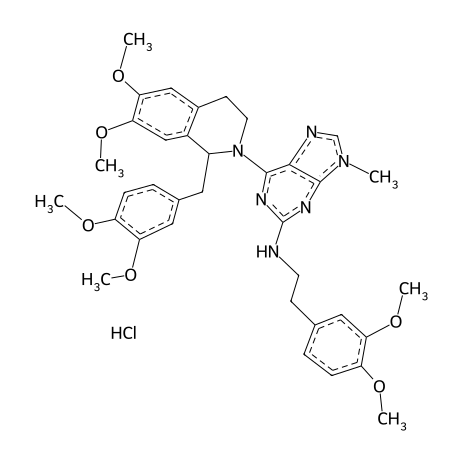 COc1ccc(CCNc2nc(N3CCc4cc(OC)c(OC)cc4C3Cc3ccc(OC)c(OC)c3)c3ncn(C)c3n2)cc1OC.Cl